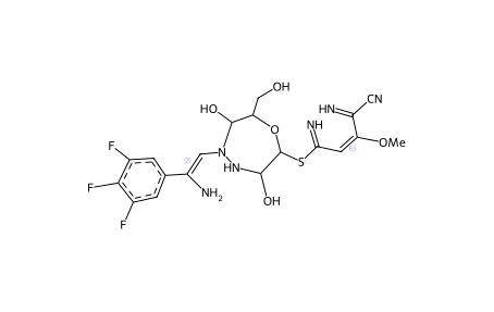 CO/C(=C/C(=N)SC1OC(CO)C(O)N(/C=C(\N)c2cc(F)c(F)c(F)c2)NC1O)C(=N)C#N